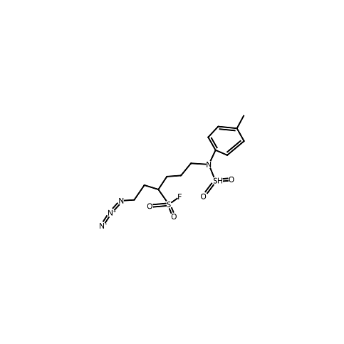 Cc1ccc(N(CCCC(CCN=[N+]=[N-])S(=O)(=O)F)[SH](=O)=O)cc1